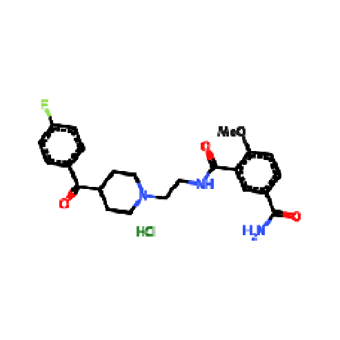 COc1ccc(C(N)=O)cc1C(=O)NCCN1CCC(C(=O)c2ccc(F)cc2)CC1.Cl